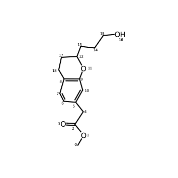 COC(=O)Cc1ccc2c(c1)OC(CCCO)CC2